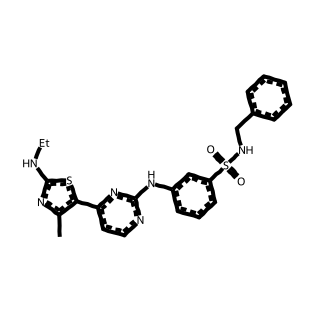 CCNc1nc(C)c(-c2ccnc(Nc3cccc(S(=O)(=O)NCc4ccccc4)c3)n2)s1